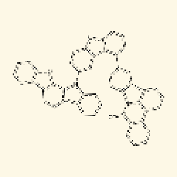 O=c1c2ccccc2c2cccc3c4cc(-c5cccc6oc7ccc(-n8c9ccccc9c9ccc%10c%11ccccc%11oc%10c98)cc7c56)ccc4n1c23